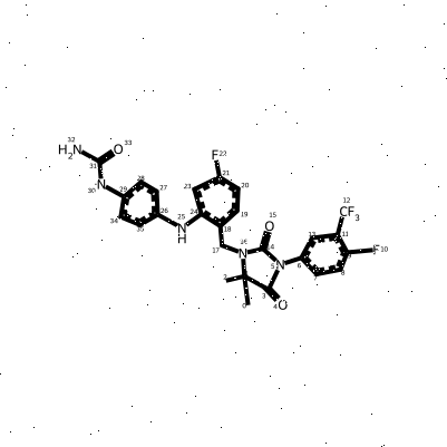 CC1(C)C(=O)N(c2ccc(F)c(C(F)(F)F)c2)C(=O)N1Cc1ccc(F)cc1Nc1ccc([N]C(N)=O)cc1